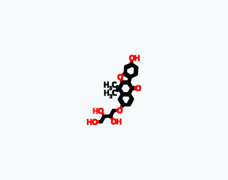 CC1(C)c2cc(OCC(O)[C@H](O)CO)ccc2C(=O)c2c1oc1cc(O)ccc21